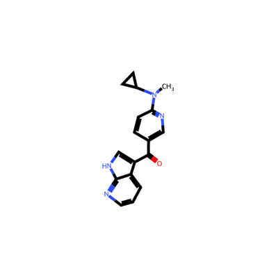 CN(c1ccc(C(=O)c2c[nH]c3ncccc23)cn1)C1CC1